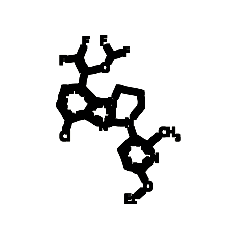 CCOc1ccc(N2CCCn3c2nc2c(Cl)ccc(C(OC(F)F)=C(F)F)c23)c(C)n1